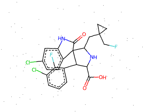 O=C(O)C1NC(CC2(CF)CC2)C2(C(=O)Nc3cc(Cl)ccc32)C1c1cccc(Cl)c1F